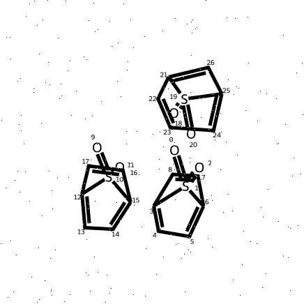 O=S1(=O)C2=CC=C1C=C2.O=S1(=O)C2=CC=C1C=C2.O=S1(=O)c2cccc1c2